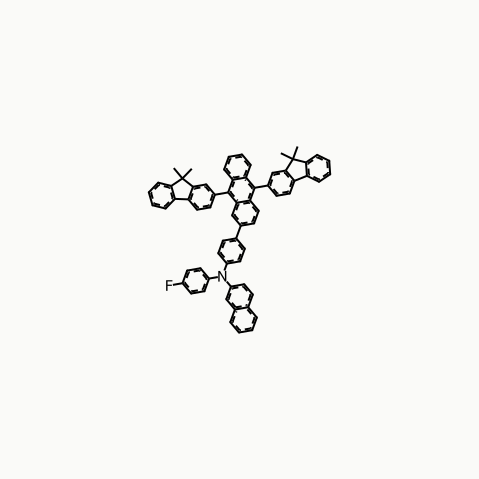 CC1(C)c2ccccc2-c2ccc(-c3c4ccccc4c(-c4ccc5c(c4)C(C)(C)c4ccccc4-5)c4cc(-c5ccc(N(c6ccc(F)cc6)c6ccc7ccccc7c6)cc5)ccc34)cc21